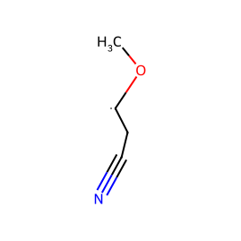 CO[CH]CC#N